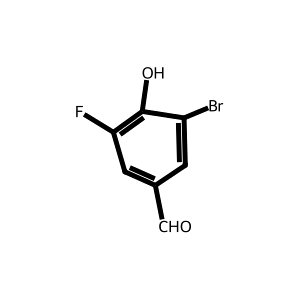 O=Cc1cc(F)c(O)c(Br)c1